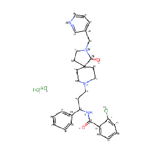 Cl.Cl.O=C(NC(CCN1CCC2(CC1)CCN(Cc1cccnc1)C2=O)c1ccccc1)c1ccccc1Cl